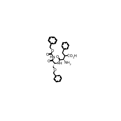 N[C@H](C(=O)N[C@H](COCc1ccccc1)C(=O)NC(=O)OCc1ccccc1)C(Cc1ccccc1)C(=O)O